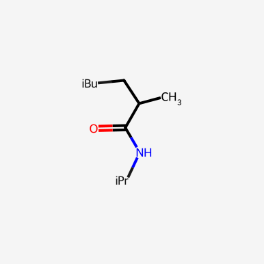 CCC(C)CC(C)C(=O)NC(C)C